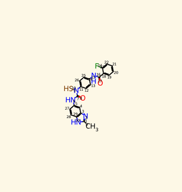 Cc1nc2cc(NC(=O)N(S)c3ccc(NC(=O)c4ccccc4F)cc3)ccc2[nH]1